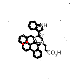 CC(C)N(Cc1ccccc1)C(=O)c1ccccc1-c1ccccc1C(=O)N(CCC(=O)O)CCc1c[nH]c2ccccc12